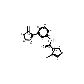 CC1=CCCN1C(=O)Nc1cccc(C2=NCCN2)c1